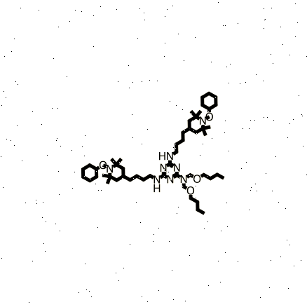 CCCCOCN(COCCCC)c1nc(NCCCCC2CC(C)(C)N(OC3CCCCC3)C(C)(C)C2)nc(NCCCCC2CC(C)(C)N(OC3CCCCC3)C(C)(C)C2)n1